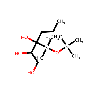 CCCC(O)(C(O)CO)[Si](C)(C)O[Si](C)(C)C